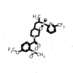 CC(CC1CCN(C(=O)c2ccc(OC(F)(F)F)cc2S(C)(=O)=O)CC1)S(=O)(=O)c1cccc(C(F)(F)F)n1